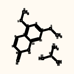 COc1cc(OC)c2ccc(=O)oc2c1.NP(O)O